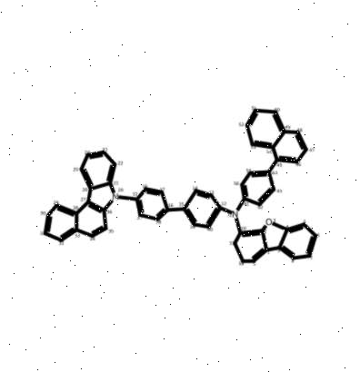 C1=c2c(oc3ccccc23)=C(N(c2ccc(-c3ccc(-n4c5ccccc5c5c6ccccc6ccc54)cc3)cc2)c2ccc(-c3cccc4ccccc34)cc2)CC1